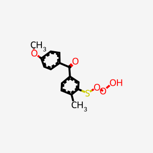 COc1ccc(C(=O)c2ccc(C)c(SOOO)c2)cc1